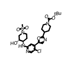 CC(C)(C)OC(=O)N1CCC(c2ncc(-c3cc(N[C@@H]4CCN(S(C)(=O)=O)C[C@H]4O)ncc3Cl)o2)CC1